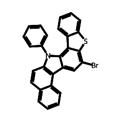 Brc1cc2c3c4ccccc4ccc3n(-c3ccccc3)c2c2c1sc1ccccc12